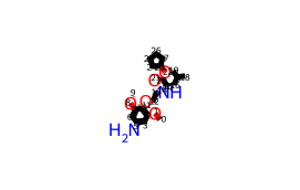 COc1cc(N)cc(OC)c1OCCN[C@H](CC(C)C)C(=O)OC1CCCC1